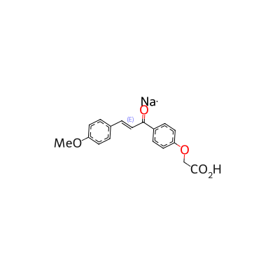 COc1ccc(/C=C/C(=O)c2ccc(OCC(=O)O)cc2)cc1.[Na]